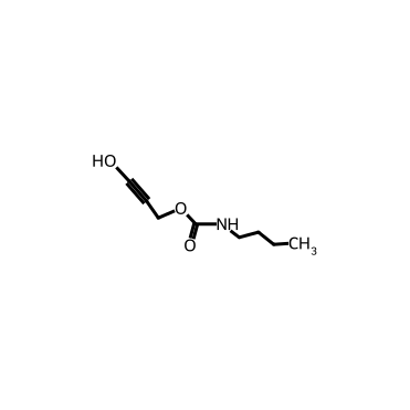 CCCCNC(=O)OCC#CO